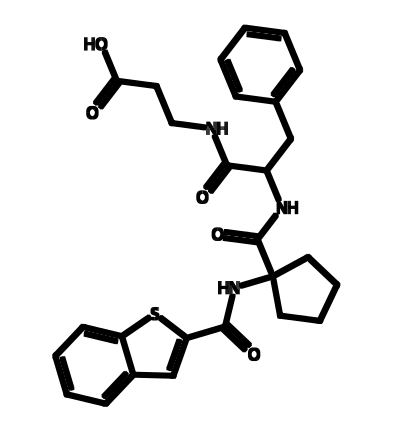 O=C(O)CCNC(=O)C(Cc1ccccc1)NC(=O)C1(NC(=O)c2cc3ccccc3s2)CCCC1